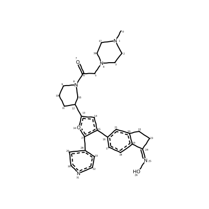 CN1CCN(CC(=O)N2CCCC(c3cc(-c4ccc5c(c4)CC/C5=N/O)c(-c4ccncc4)o3)C2)CC1